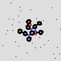 c1ccc(-c2ccc(N(c3ccccc3)c3cc(N(c4ccc(-c5ccccc5)cc4)c4cccc5c4oc4ccccc45)c4nc(-c5ccccc5)oc4c3)cc2)cc1